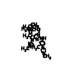 Cc1cc(Nc2ncc3c(n2)N(c2ccn(C)n2)C[C@]3(C)CO[Si](C)(C)C(C)(C)C)ccc1N1CCN(C)CC1